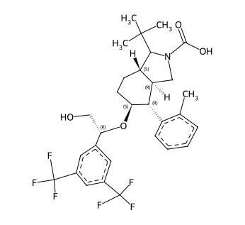 Cc1ccccc1[C@H]1[C@@H]2CN(C(=O)O)C(C(C)(C)C)[C@H]2CC[C@@H]1O[C@@H](CO)c1cc(C(F)(F)F)cc(C(F)(F)F)c1